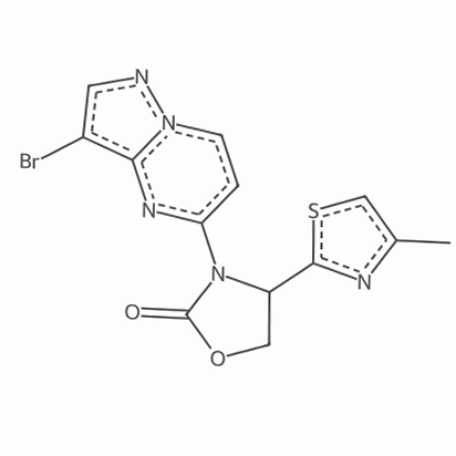 Cc1csc(C2COC(=O)N2c2ccn3ncc(Br)c3n2)n1